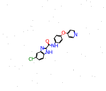 O=C(Nc1ccc(Oc2ccncc2)cc1)c1nc2cc(Cl)ccc2[nH]1